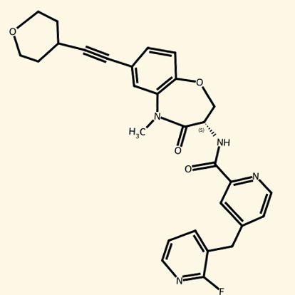 CN1C(=O)[C@@H](NC(=O)c2cc(Cc3cccnc3F)ccn2)COc2ccc(C#CC3CCOCC3)cc21